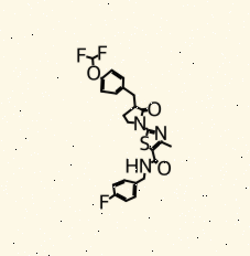 Cc1nc(N2CCC(Cc3ccc(OC(F)F)cc3)C2=O)sc1C(=O)NCc1ccc(F)cc1